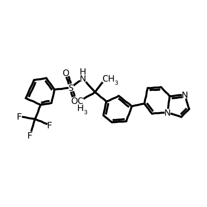 CC(C)(NS(=O)(=O)c1cccc(C(F)(F)F)c1)c1cccc(-c2ccc3nccn3c2)c1